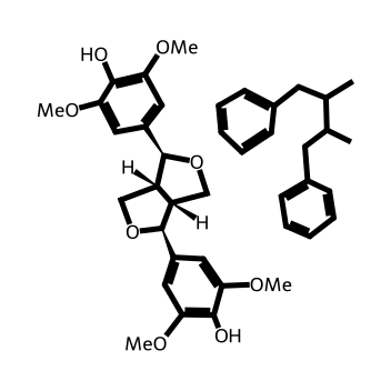 CC(Cc1ccccc1)C(C)Cc1ccccc1.COc1cc([C@H]2OC[C@H]3[C@@H]2CO[C@@H]3c2cc(OC)c(O)c(OC)c2)cc(OC)c1O